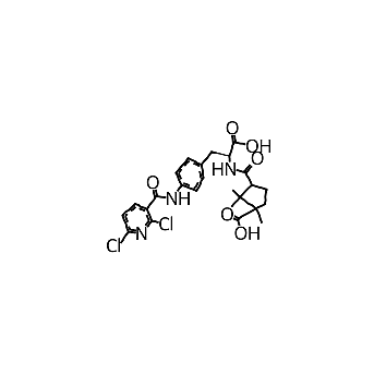 CC1(C(=O)O)CCC(C(=O)N[C@@H](Cc2ccc(NC(=O)c3ccc(Cl)nc3Cl)cc2)C(=O)O)C1(C)C